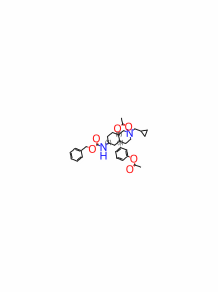 CC(=O)Oc1cccc([C@@]23CCN(CC4CC4)C[C@@]2(OC(C)=O)CC[C@H](NC(=O)OCc2ccccc2)C3)c1